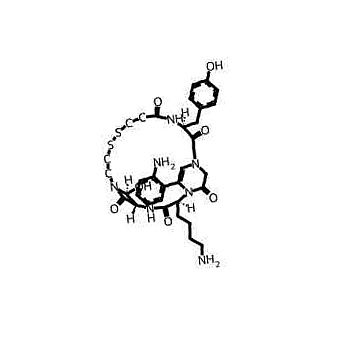 NCCCC[C@H]1C(=O)N[C@@H]2C(=O)N(CCSSCCC(=O)N[C@@H](Cc3ccc(O)cc3)C(=O)N3C=C(c4ccccc4N)N1C(=O)C3)[C@H]2O